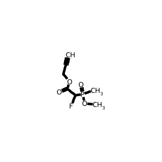 C#CCOC(=O)C(F)P(C)(=O)OC